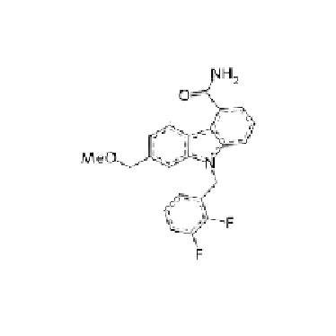 COCc1c[c]c2c3c(C(N)=O)cccc3n(Cc3cccc(F)c3F)c2c1